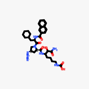 [N-]=[N+]=N[C@H]1C[C@@H](C(=O)NC(CCCCNC(=O)O)C(O)C(N)=O)N(C(=O)C(CC2CCCCC2)NC(=O)c2ccc3ccccc3c2)C1